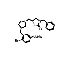 COc1ccc(Br)c(CC2CCN(CC3CN(Cc4ccccc4)C(=O)O3)C2)c1